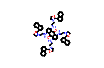 O=C1c2c(NCCN3CCOC3c3cccc4ccccc34)ccc(NCCN3CCOC3c3cccc4ccccc34)c2C(=O)c2c(NCCN3CCOC3c3cccc4ccccc34)ccc(NCCN3CCOC3c3cccc4ccccc34)c21